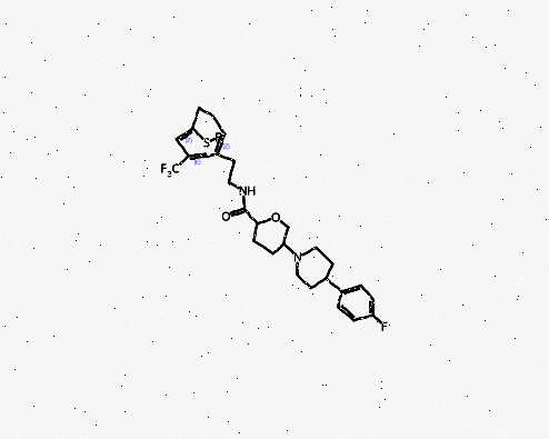 O=C(NCCC1=C/CC/C(SF)=C/C(C(F)(F)F)=C\1)C1CCC(N2CCC(c3ccc(F)cc3)CC2)CO1